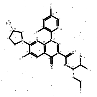 O=C(N[C@@H](CCF)C(F)F)c1cn(-c2ncc(F)cc2F)c2nc(N3CC[C@H](O)C3)c(F)cc2c1=O